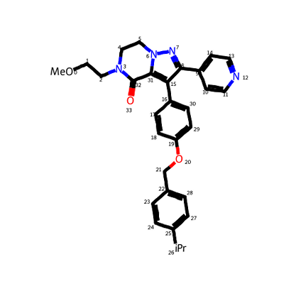 COCCN1CCn2nc(-c3ccncc3)c(-c3ccc(OCc4ccc(C(C)C)cc4)cc3)c2C1=O